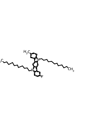 CCCCCCCCCCCCn1c2ccc(C)cc2c2cc3c(cc21)c1cc(F)ccc1n3CCCCCCCCCCCC